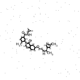 Cc1ccc(C(=O)NC2CC2)cc1-n1cnc2ccc(OCCNC(C)c3cnn(C)c3)cc2c1=O